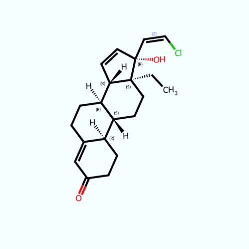 CC[C@]12CC[C@H]3[C@@H](CCC4=CC(=O)CC[C@@H]43)[C@@H]1C=C[C@@]2(O)/C=C\Cl